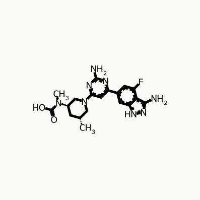 C[C@@H]1C[C@@H](N(C)C(=O)O)CN(c2cc(-c3cc(F)c4c(N)n[nH]c4c3)nc(N)n2)C1